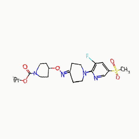 CC(C)OC(=O)N1CCC(ON=C2CCN(c3ncc(S(C)(=O)=O)cc3F)CC2)CC1